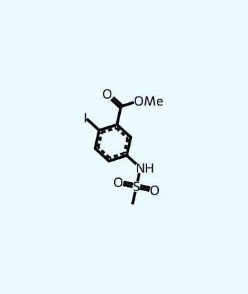 COC(=O)c1cc(NS(C)(=O)=O)ccc1I